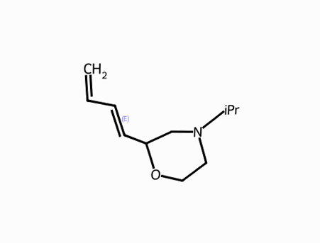 C=C/C=C/C1CN(C(C)C)CCO1